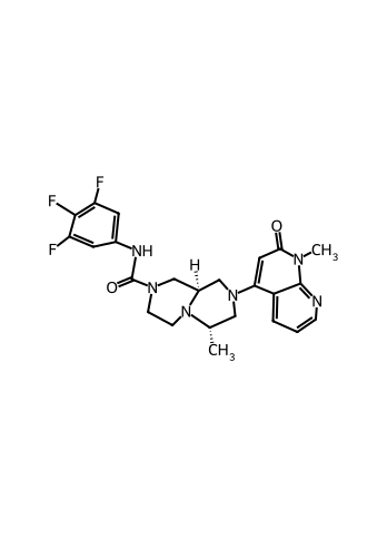 C[C@H]1CN(c2cc(=O)n(C)c3ncccc23)C[C@@H]2CN(C(=O)Nc3cc(F)c(F)c(F)c3)CCN21